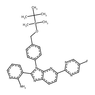 CC(C)(C)[Si](C)(C)OCc1ccc(-n2c(-c3cccnc3N)nc3ccc(-c4ncc(F)cn4)nc32)cc1